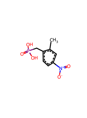 Cc1cc([N+](=O)[O-])ccc1CP(=O)(O)O